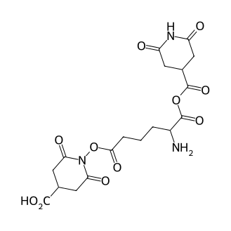 NC(CCCC(=O)ON1C(=O)CC(C(=O)O)CC1=O)C(=O)OC(=O)C1CC(=O)NC(=O)C1